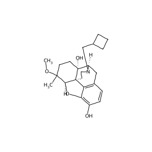 COC1(C)CC[C@@]2(O)[C@H]3Cc4ccc(O)c5c4[C@@]2(CCN3CC2CCC2)[C@H]1O5